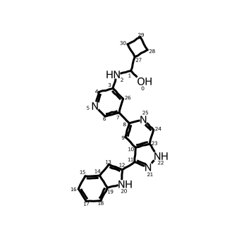 OC(Nc1cncc(-c2cc3c(-c4cc5ccccc5[nH]4)n[nH]c3cn2)c1)C1CCC1